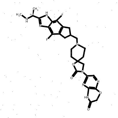 CN[C@@H](C)c1nc2c(F)c3c(c(F)c2[nH]1)CC(CN1CCC2(CC1)CN(c1cnc4c(n1)NC(=O)CO4)C(=O)O2)C3